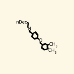 CCCCCCCCCCCCN=Cc1ccc(OCc2ccc(C)c(C)c2)cc1